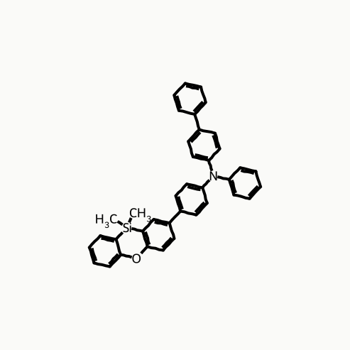 C[Si]1(C)c2ccccc2Oc2ccc(-c3ccc(N(c4ccccc4)c4ccc(-c5ccccc5)cc4)cc3)cc21